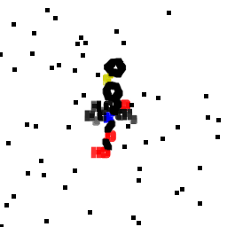 CN(CCOCCO)C(C)(C)C(=O)c1ccc(Sc2ccccc2)cc1